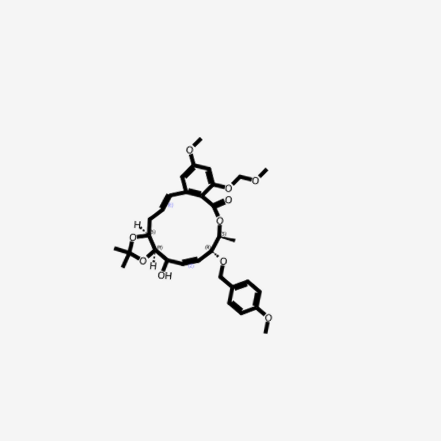 COCOc1cc(OC)cc2c1C(=O)O[C@@H](C)[C@H](OCc1ccc(OC)cc1)/C=C\C(O)[C@H]1OC(C)(C)O[C@H]1C/C=C/2